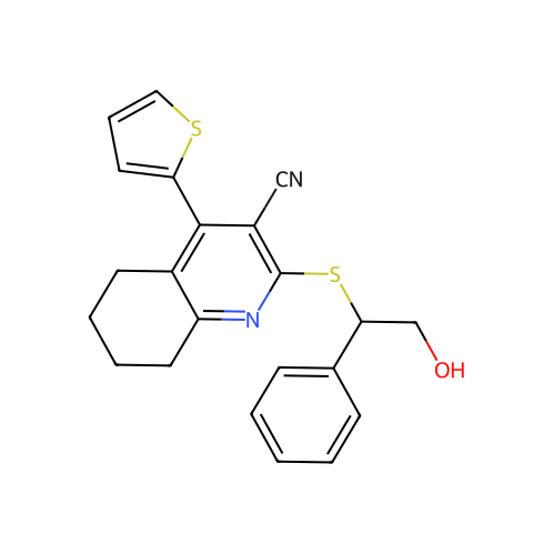 N#Cc1c(SC(CO)c2ccccc2)nc2c(c1-c1cccs1)CCCC2